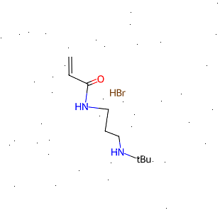 Br.C=CC(=O)NCCCNC(C)(C)C